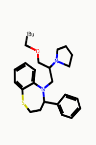 CC(C)(C)COCC(CN1c2ccccc2SCCC1c1ccccc1)N1CCCC1